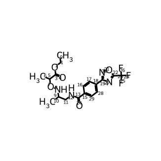 CCOC(=O)C(C)ONC(C)CNC(=O)c1ccc(-c2noc(C(F)(F)F)n2)cc1